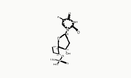 O=c1[nH]c(=O)n([C@H]2C[C@H](O)[C@]3(CC[C@H]3OP(=O)(O)O)O2)cc1F